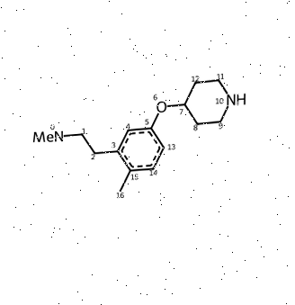 CNCCc1cc(OC2CCNCC2)ccc1C